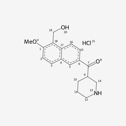 COc1ccc2cc(C(=O)C3CCCNC3)ccc2c1CO.Cl